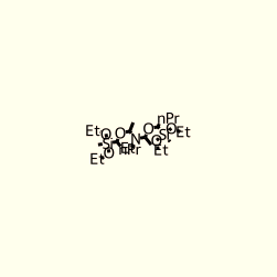 CCCC(OC(C)N(CC)C(C)OC(CCC)[Si](C)(OCC)OCC)[Si](C)(OCC)OCC